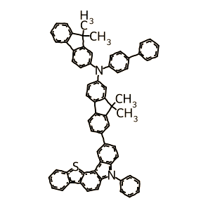 CC1(C)c2ccccc2-c2ccc(N(c3ccc(-c4ccccc4)cc3)c3ccc4c(c3)C(C)(C)c3cc(-c5ccc6c(c5)c5c7sc8ccccc8c7ccc5n6-c5ccccc5)ccc3-4)cc21